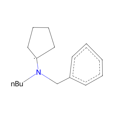 CCCCN(Cc1ccccc1)[C]1CCCC1